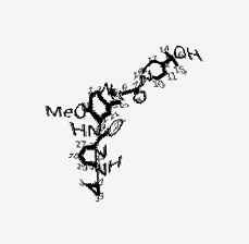 COc1cc2nn(CC(=O)N3CCC(C(C)(C)O)CC3)cc2cc1NC(=O)c1cccc(NC2CC2)n1